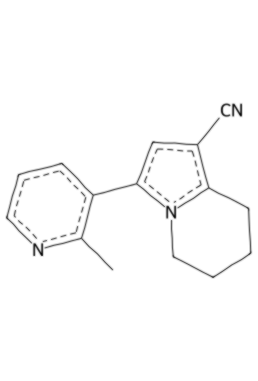 Cc1ncccc1-c1cc(C#N)c2n1CCCC2